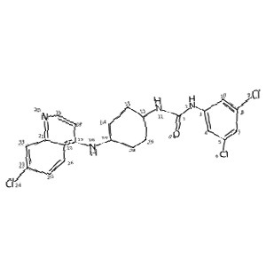 O=C(Nc1cc(Cl)cc(Cl)c1)NC1CCC(Nc2ccnc3cc(Cl)ccc23)CC1